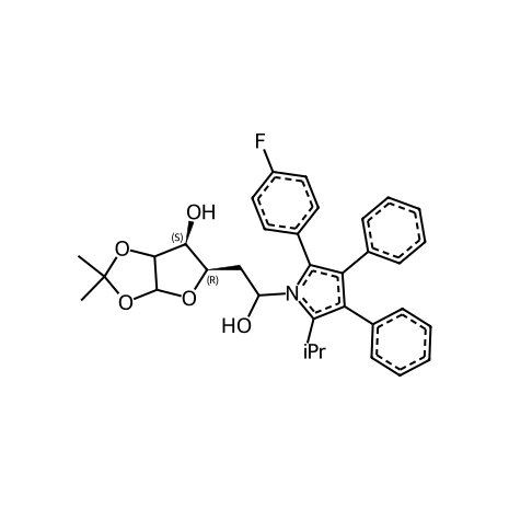 CC(C)c1c(-c2ccccc2)c(-c2ccccc2)c(-c2ccc(F)cc2)n1C(O)C[C@H]1OC2OC(C)(C)OC2[C@H]1O